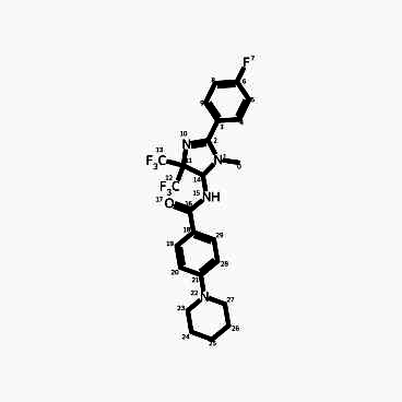 CN1C(c2ccc(F)cc2)=NC(C(F)(F)F)(C(F)(F)F)C1NC(=O)c1ccc(N2CCCCC2)cc1